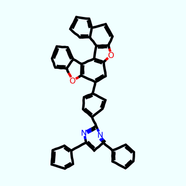 c1ccc(-c2cc(-c3ccccc3)nc(-c3ccc(-c4cc5oc6ccc7ccccc7c6c5c5c4oc4ccccc45)cc3)n2)cc1